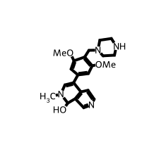 COc1cc(C2=CN(C)C(O)c3cnccc32)cc(OC)c1CN1CCNCC1